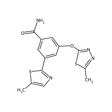 Cc1cnc(-c2cc(Oc3nnc(C)s3)cc(C(N)=O)c2)s1